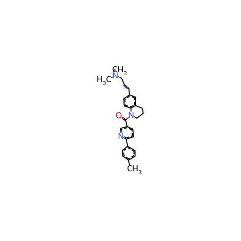 Cc1ccc(-c2ccc(C(=O)N3CCCc4cc(/C=C/CN(C)C)ccc43)cn2)cc1